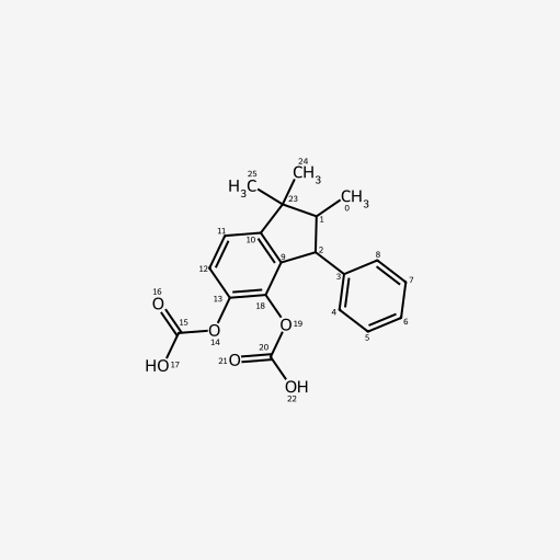 CC1C(c2ccccc2)c2c(ccc(OC(=O)O)c2OC(=O)O)C1(C)C